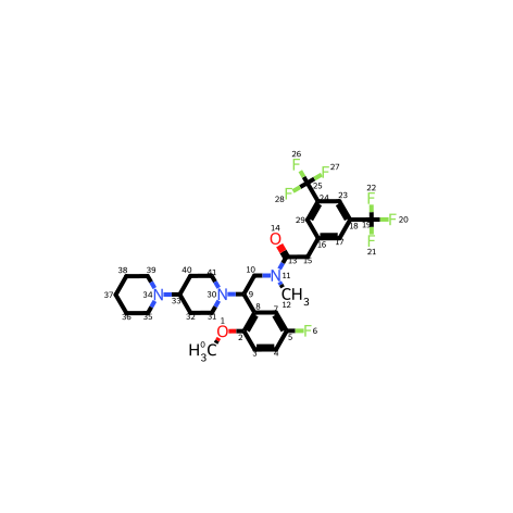 COc1ccc(F)cc1C(CN(C)C(=O)Cc1cc(C(F)(F)F)cc(C(F)(F)F)c1)N1CCC(N2CCCCC2)CC1